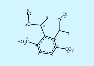 CCOC(C)c1c(C(=O)O)ccc(C(=O)O)c1C(C)OCC